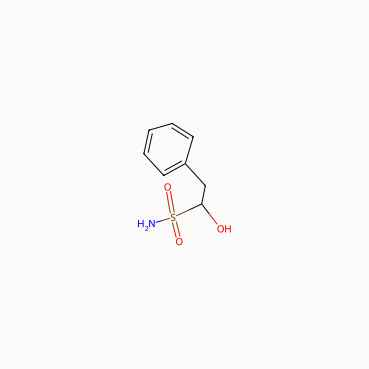 NS(=O)(=O)C(O)Cc1ccccc1